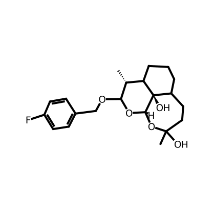 C[C@H]1C(OCc2ccc(F)cc2)O[C@@H]2OC(C)(O)CCC3CCCC1[C@]32O